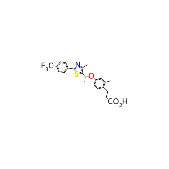 Cc1cc(O[C@H](C)c2sc(-c3ccc(C(F)(F)F)cc3)nc2C)ccc1CCC(=O)O